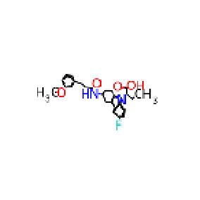 CCC(C(=O)O)n1c2c(c3cc(F)ccc31)CC(NC(=O)CCc1cccc(OC)c1)CC2